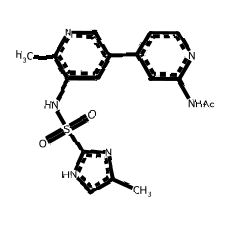 CC(=O)Nc1cc(-c2cnc(C)c(NS(=O)(=O)c3nc(C)c[nH]3)c2)ccn1